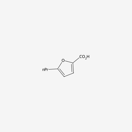 CCCc1ccc(C(=O)O)o1